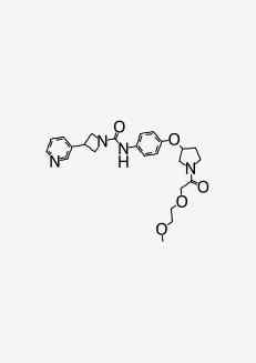 COCCOCC(=O)N1CCC(Oc2ccc(NC(=O)N3CC(c4cccnc4)C3)cc2)C1